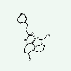 O=C(CCc1ccccc1)N[C@H]1CCC(=O)N2CCC[C@@H](C(=O)O)N2C1=O